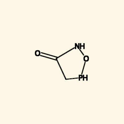 O=C1CPON1